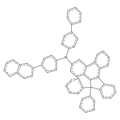 c1ccc(-c2ccc(N(c3ccc(-c4ccc5ccccc5c4)cc3)c3ccc4c5c(c6ccccc6c4c3)-c3ccccc3C5(c3ccccc3)c3ccccc3)cc2)cc1